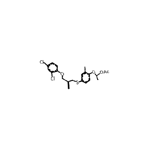 C=C(COc1ccc(Cl)cc1Cl)CSc1ccc(OC(C)OC(C)=O)c(C)c1